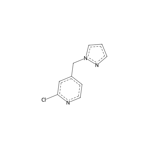 Clc1cc(Cn2cccn2)ccn1